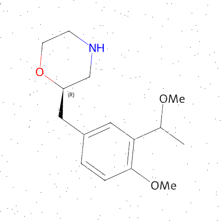 COc1ccc(C[C@@H]2CNCCO2)cc1C(C)OC